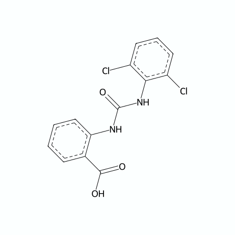 O=C(Nc1ccccc1C(=O)O)Nc1c(Cl)cccc1Cl